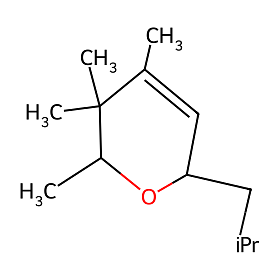 CC1=CC(CC(C)C)OC(C)C1(C)C